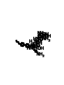 CCCCc1ccc(-c2ccc(C(=O)N[C@@H](CCCCN)C(=O)N[C@H](C(=O)N[C@@H](N)C(=O)NC(CC(N)=O)C(=O)N[C@@H](N)B(O)O)[C@@H](C)O)cc2)cc1